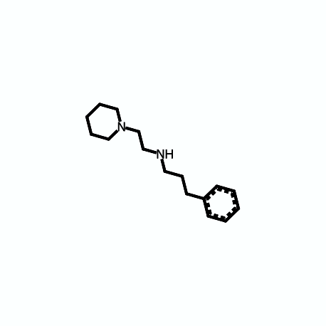 c1ccc(CCCNCCN2CCCCC2)cc1